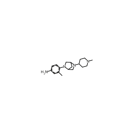 Cc1cc(N)ccc1N1CC2CC1CN2C1CCN(C)CC1